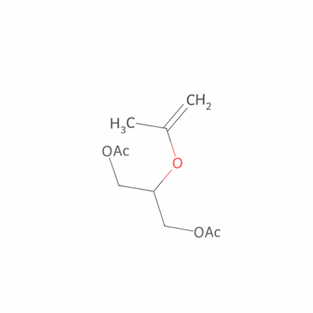 C=C(C)OC(COC(C)=O)COC(C)=O